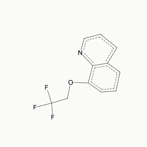 FC(F)(F)COc1cccc2cccnc12